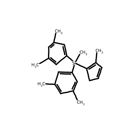 CC1=C([Si](C)(c2cc(C)cc(C)c2)c2cc(C)cc(C)c2)CC=C1